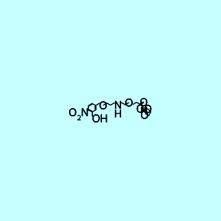 O=C(CCOCCNCCCOCc1ccc([N+](=O)[O-])c(CO)c1)ON1OCCO1